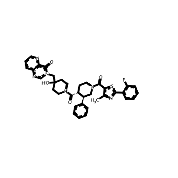 Cc1nc(-c2ccccc2F)sc1C(=O)N1CC[C@@H](C(=O)N2CCC(O)(Cn3cnc4cccnc4c3=O)CC2)[C@H](c2ccccc2)C1